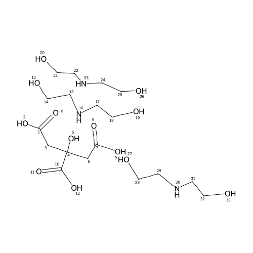 O=C(O)CC(O)(CC(=O)O)C(=O)O.OCCNCCO.OCCNCCO.OCCNCCO